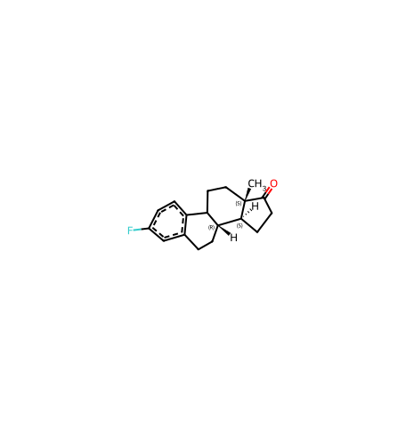 C[C@]12CCC3c4ccc(F)cc4CC[C@H]3[C@@H]1CCC2=O